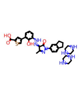 C1CNCCN1.C1CNCCN1.CC1=NN(c2ccc3c(c2)CCC3)C(=O)/C1=N\Nc1cccc(-c2csc(C(=O)O)c2)c1O